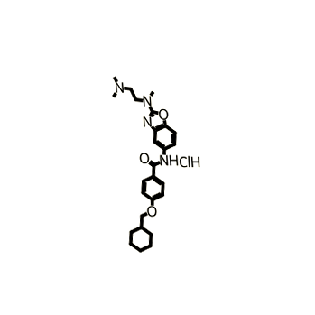 CN(C)CCN(C)c1nc2cc(NC(=O)c3ccc(OCC4CCCCC4)cc3)ccc2o1.Cl